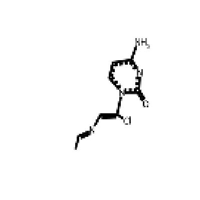 C/C=N/C=C(\Cl)n1ccc(N)nc1=O